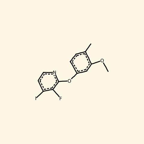 COc1cc(Oc2nccc(I)c2F)ccc1C